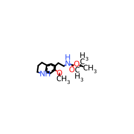 COc1cc2c(cc1CCNC(=O)OC(C)(C)C)CCCN2